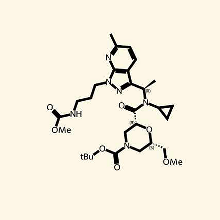 COC[C@@H]1CN(C(=O)OC(C)(C)C)C[C@H](C(=O)N(C2CC2)[C@H](C)c2nn(CCCNC(=O)OC)c3nc(C)ccc23)O1